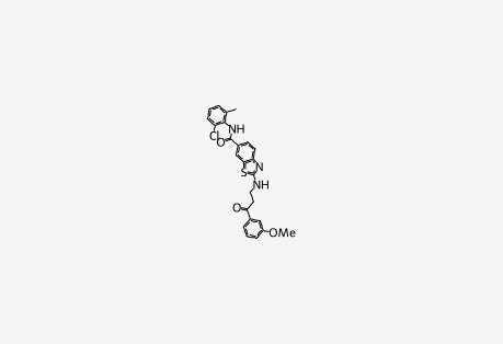 COc1cccc(C(=O)CCNc2nc3ccc(C(=O)Nc4c(C)cccc4Cl)cc3s2)c1